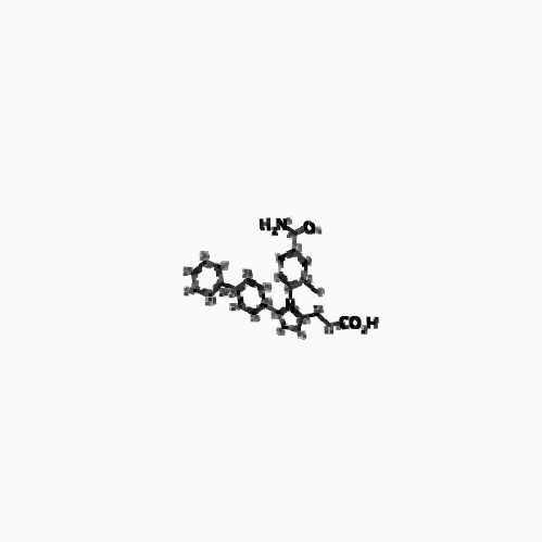 Cc1cc(C(N)=O)ccc1-n1c(CCC(=O)O)ccc1-c1ccc(-c2ccccc2)cc1